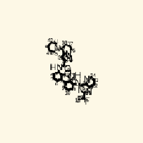 O=C(Nc1cccc(-c2cccc(Nc3nc(C(F)F)nc4cccnc34)c2Cl)c1Cl)c1cc2n(n1)CCC[C@@H]2N1CCCCC1